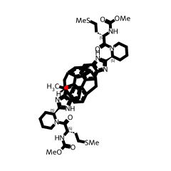 COC(=O)N[C@@H](CCSC)C(=O)N1CCCC[C@H]1c1nc2cc(-c3cc4ccc3CCc3ccc(c(-c5ccc6[nH]c([C@@H]7CCCCN7C(=O)[C@H](CCSC)NC(=O)OC)nc6c5)c3)C[C@H]4C)ccc2[nH]1